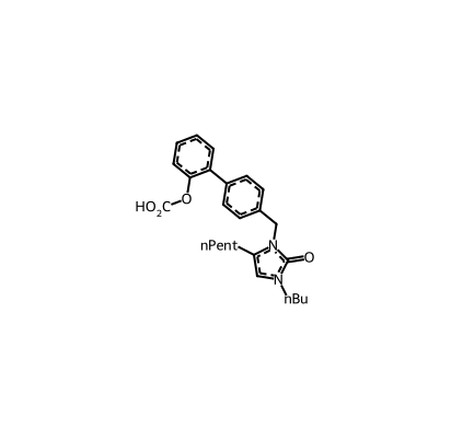 CCCCCc1cn(CCCC)c(=O)n1Cc1ccc(-c2ccccc2OC(=O)O)cc1